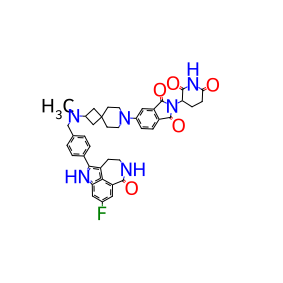 CN(Cc1ccc(-c2[nH]c3cc(F)cc4c3c2CCNC4=O)cc1)C1CC2(CCN(c3ccc4c(c3)C(=O)N(C3CCC(=O)NC3=O)C4=O)CC2)C1